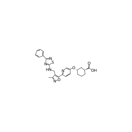 Cc1noc(-c2ccc(O[C@H]3CCC[C@H](C(=O)O)C3)cn2)c1CNc1nc(-c2ccccc2)ns1